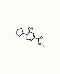 NC(=O)c1ccc(C2[CH]CCC2)c(O)c1